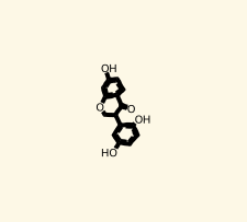 O=C1c2ccc(O)cc2OCC1c1cc(O)ccc1O